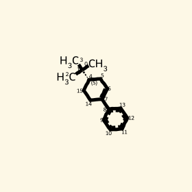 CC(C)(C)[C@@H]1CC=C(c2[c]cccc2)CC1